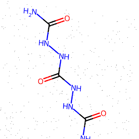 NC(=O)NNC(=O)NNC(N)=O